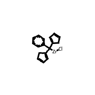 [Cl][Zr][C](C1=CC=CC1)(C1=CC=CC1)c1ccccc1